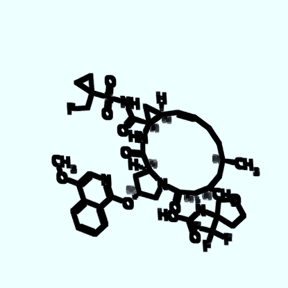 COc1cnc(O[C@@H]2C[C@H]3C(=O)N[C@]4(C(=O)NS(=O)(=O)C5(CF)CC5)C[C@H]4C=CCC[C@@H](C)C[C@@H](C)[C@H](N(C(=O)O)C4(C(F)(F)F)CCOC4)C(=O)N3C2)c2ccccc12